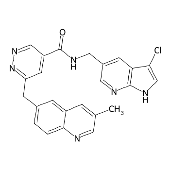 Cc1cnc2ccc(Cc3cc(C(=O)NCc4cnc5[nH]cc(Cl)c5c4)cnn3)cc2c1